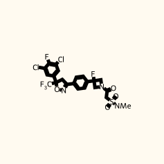 CNS(=O)(=O)CC(=O)N1CC(F)(c2ccc(C3=NOC(c4cc(Cl)c(F)c(Cl)c4)(C(F)(F)F)C3)cc2)C1